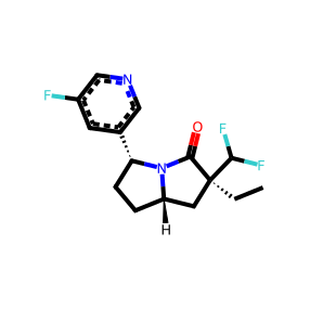 CC[C@]1(C(F)F)C[C@@H]2CC[C@H](c3cncc(F)c3)N2C1=O